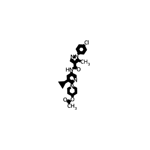 CC(=O)OC1CCN(c2ncc(NC(=O)c3cnn(-c4ccc(Cl)cc4)c3C)cc2C2CC2)CC1